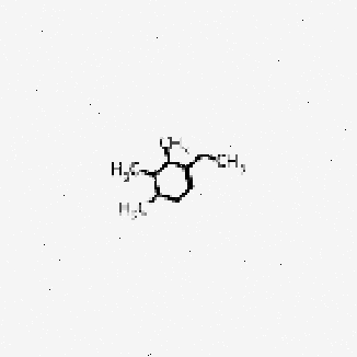 CCC1=CCC(C)C(C)C1C